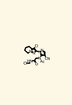 CC(=O)N(CC(=O)NCCl)c1c(C#N)cnn1-c1nn2c(c1Cl)CCCC2